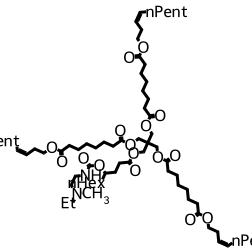 CCCCC/C=C\CCOC(=O)CCCCCCC(=O)OCC(COC(=O)CCCCCCC(=O)OCC/C=C\CCCCC)(COC(=O)CCCCCCC(=O)OCC/C=C\CCCCC)COC(=O)CCC(CCCCCC)OC(=O)NCCN(C)CC